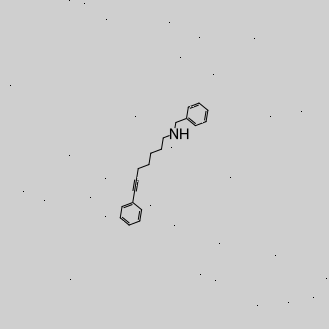 C(#Cc1ccccc1)CCCCCNCc1ccccc1